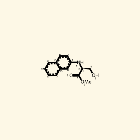 COC(=O)[C@H](CO)Nc1ccc2ccccc2c1